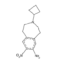 Nc1cc2c(cc1[N+](=O)[O-])CCN(C1CCC1)CC2